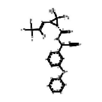 CC1(C)C(C=C(Cl)C(F)(F)F)[C@H]1C(=O)OC(C#N)c1cccc(Oc2ccccc2)c1